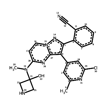 Cc1cc(-c2c(-c3ccccc3C#N)nn3ccc(N(C)C4(O)CNC4)nc23)cc(Cl)n1